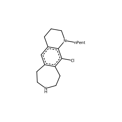 CCCCCN1CCCc2cc3c(c(Cl)c21)CCNCC3